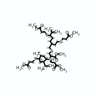 COC(=O)CCSCCC(CCC(SCCC(=O)OC)C(C)C)CSCC(C(=O)OC)[SH](CCC(=O)OC)C1CC(C)C(SCCC(=O)OC)CC1C(C)C